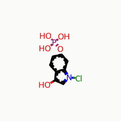 O=P(O)(O)O.Oc1cn(Cl)c2ccccc12